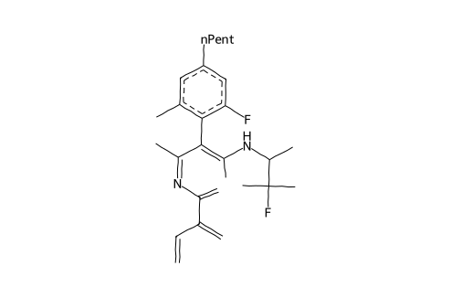 C=CC(=C)C(=C)/N=C(C)\C(=C(/C)NC(C)C(C)(C)F)c1c(C)cc(CCCCC)cc1F